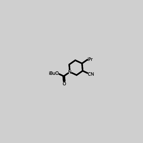 CC(C)COC(=O)N1CCC(C(C)C)C(C#N)C1